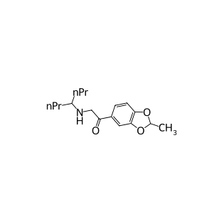 CCCC(CCC)NCC(=O)c1ccc2c(c1)OC(C)O2